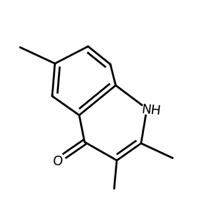 Cc1ccc2[nH]c(C)c(C)c(=O)c2c1